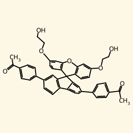 CC(=O)c1ccc(-c2ccc3c(c2)C2(c4ccc(OCCO)cc4Oc4cc(OCCO)ccc42)c2cc(-c4ccc(C(C)=O)cc4)ccc2-3)cc1